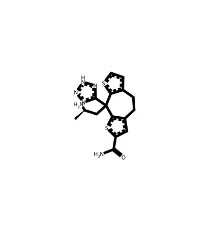 C[C@@H](N)CC1(c2nn[nH]n2)c2sccc2CCc2cc(C(N)=O)sc21